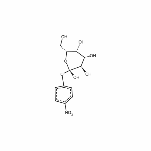 O=[N+]([O-])c1ccc(O[C@]2(O)O[C@H](CO)[C@H](O)[C@H](O)[C@H]2O)cc1